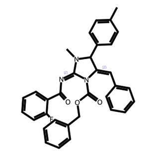 Cc1ccc(C2/C(=C/c3ccccc3)N(C(=O)OCc3ccccc3)/C(=N\C(=O)c3ccccc3F)N2C)cc1